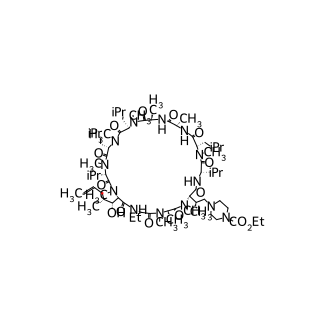 C/C=C/C[C@@H](C)[C@@H](O)[C@H]1C(=O)N[C@@H](CC)C(=O)N(C)[C@H](C)C(=O)N(C)[C@@H]([C@H](C)CN2CCN(C(=O)OCC)CC2)C(=O)N[C@@H](C(C)C)C(=O)N(C)[C@@H](CC(C)C)C(=O)N[C@@H](C)C(=O)N[C@H](C)C(=O)N(C)[C@@H](CC(C)C)C(=O)N(C)[C@@H](CC(C)C)C(=O)N(C)[C@@H](C(C)C)C(=O)N1C